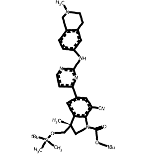 CN1CCc2cc(Nc3nccc(-c4cc(C#N)c5c(c4)[C@@](C)(CO[Si](C)(C)C(C)(C)C)CN5C(=O)OC(C)(C)C)n3)ccc2C1